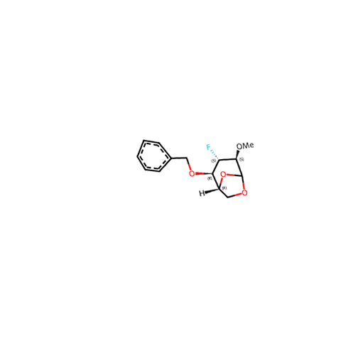 CO[C@H]1C2OC[C@@H](O2)[C@@H](OCc2ccccc2)[C@@H]1F